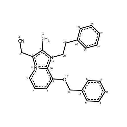 Cc1c(CC#N)[n+]2cccc(OCc3ccccc3)c2n1CCc1ccccc1